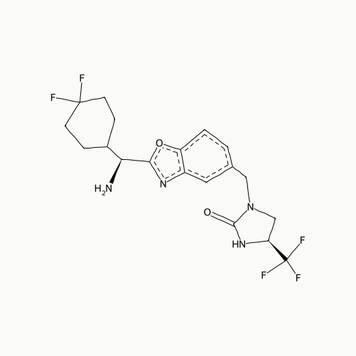 N[C@H](c1nc2cc(CN3C[C@@H](C(F)(F)F)NC3=O)ccc2o1)C1CCC(F)(F)CC1